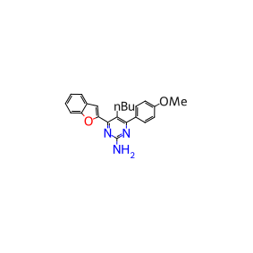 CCCCc1c(-c2ccc(OC)cc2)nc(N)nc1-c1cc2ccccc2o1